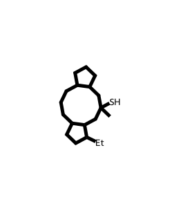 CCC1CCC2CCCC3CCCC3CC(C)(S)CC12